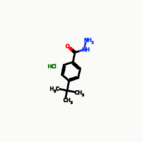 CC(C)(C)c1ccc(C(=O)NN)cc1.Cl